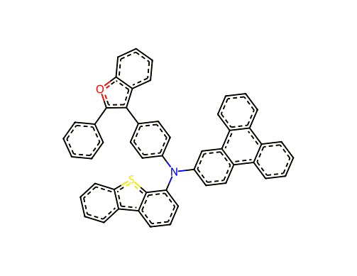 c1ccc(-c2oc3ccccc3c2-c2ccc(N(c3ccc4c5ccccc5c5ccccc5c4c3)c3cccc4c3sc3ccccc34)cc2)cc1